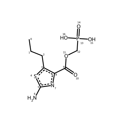 CCCc1sc(N)nc1C(=O)OCP(=O)(O)O